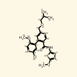 COc1nnc(NC(=O)c2cnc(COCC(C)C)cc2-c2cc(Cl)ncc2OC)s1